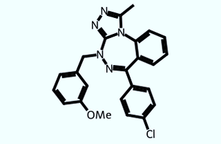 COc1cccc(CN2N=C(c3ccc(Cl)cc3)c3ccccc3-n3c(C)nnc32)c1